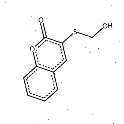 O=c1oc2ccccc2cc1SCO